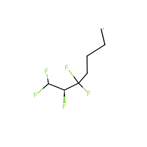 [CH2]CCCC(F)(F)[C@@H](F)C(F)F